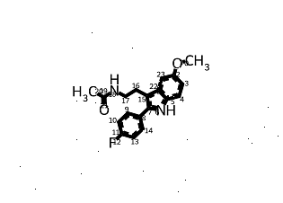 COc1ccc2[nH]c(-c3ccc(F)cc3)c(CCNC(C)=O)c2c1